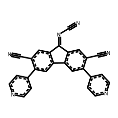 N#CN=C1c2cc(C#N)c(-c3ccncc3)cc2-c2cc(-c3ccncc3)c(C#N)cc21